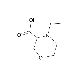 CCN1CCOCC1C(=O)O